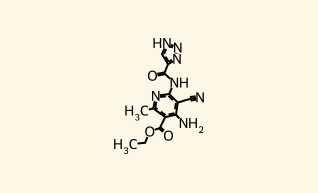 CCOC(=O)c1c(C)nc(NC(=O)c2c[nH]nn2)c(C#N)c1N